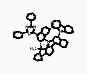 CC1(C)c2ccccc2-c2ccc3c4c5ccccc5c(-n5c6ccccc6c6ccccc65)cc4n(-c4ccc(-c5nc(-c6ccccc6)nc(-c6ccccc6)n5)c5ccccc45)c3c21